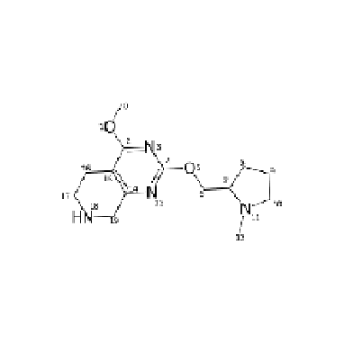 COc1nc(OCC2CCCN2C)nc2c1CCNC2